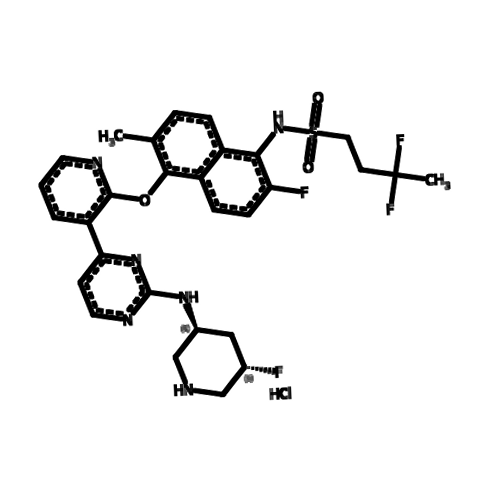 Cc1ccc2c(NS(=O)(=O)CCC(C)(F)F)c(F)ccc2c1Oc1ncccc1-c1ccnc(N[C@@H]2CNC[C@@H](F)C2)n1.Cl